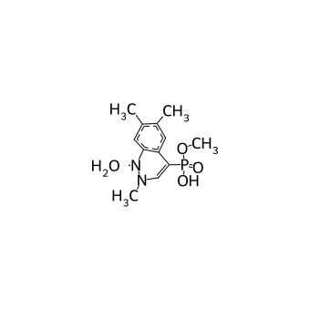 COP(=O)(O)C1=CN(C)[N]c2cc(C)c(C)cc21.O